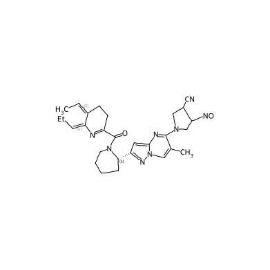 C/C=C1/CCC(C(=O)N2CCCC[C@H]2c2cc3nc(N4CC(C#N)C(N=O)C4)c(C)cn3n2)=N/C1=C/CC